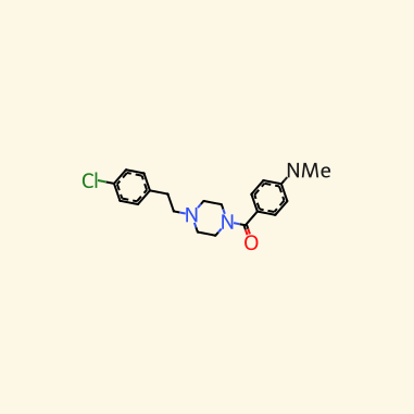 CNc1ccc(C(=O)N2CCN(CCc3ccc(Cl)cc3)CC2)cc1